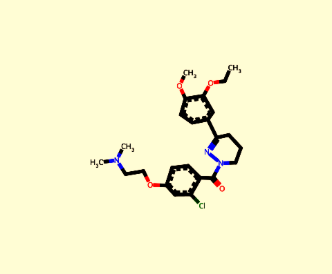 CCOc1cc(C2=NN(C(=O)c3ccc(OCCN(C)C)cc3Cl)CCC2)ccc1OC